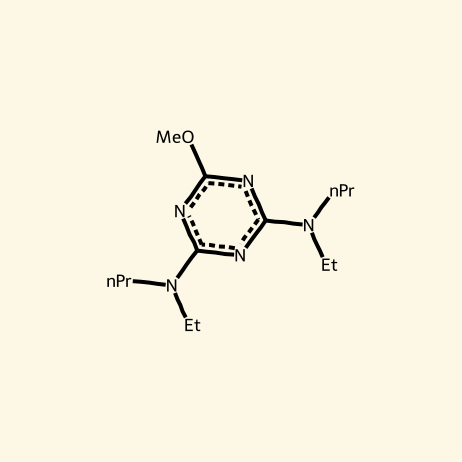 CCCN(CC)c1nc(OC)nc(N(CC)CCC)n1